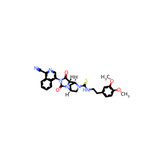 COc1ccc(CCNC(=S)N2C[C@@H]3C[C@H]2[C@H]2C(=O)N(c4cnc(C#N)c5ccccc45)C(=O)N32)cc1OC